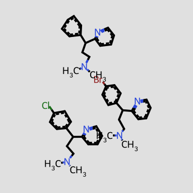 CN(C)CCC(c1ccc(Br)cc1)c1ccccn1.CN(C)CCC(c1ccc(Cl)cc1)c1ccccn1.CN(C)CCC(c1ccccc1)c1ccccn1